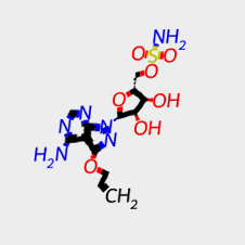 C=CCOc1nn([C@@H]2O[C@H](COS(N)(=O)=O)[C@@H](O)[C@H]2O)c2ncnc(N)c12